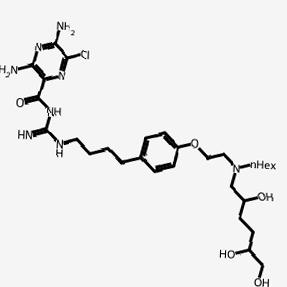 CCCCCCN(CCOc1ccc(CCCCNC(=N)NC(=O)c2nc(Cl)c(N)nc2N)cc1)CC(O)CCC(O)CO